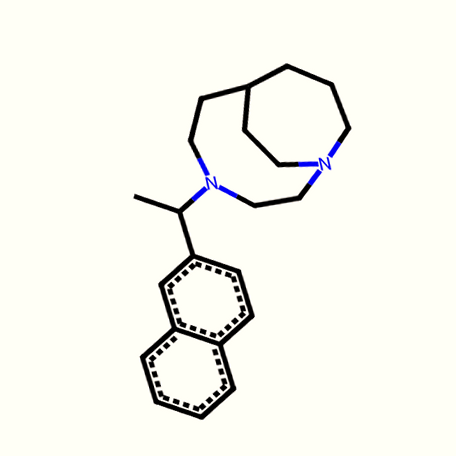 CC(c1ccc2ccccc2c1)N1CCC2CCCN(CC2)CC1